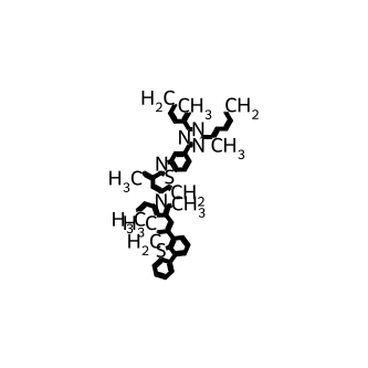 C=C/C=C\C=C(/C)c1nc(C(/C=C\C=C)=C/C)nc(-c2ccc3sc(C(=C/C)/C=C(\C=C)n4c(C)c(/C=C(\C=C)c5cccc6c5sc5ccccc56)c(C)c4/C=C\C)nc3c2)n1